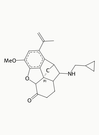 C=C(C)c1cc(OC)c2c3c1C1C[C@]34C(O2)C(=O)CCC4C1NCC1CC1